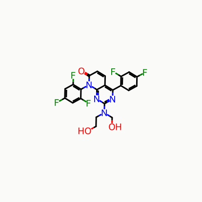 O=c1ccc2c(-c3ccc(F)cc3F)nc(N(CO)CCO)nc2n1-c1c(F)cc(F)cc1F